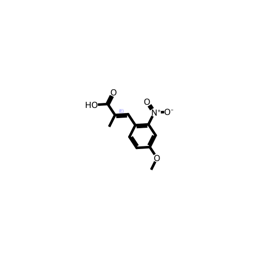 COc1ccc(/C=C(\C)C(=O)O)c([N+](=O)[O-])c1